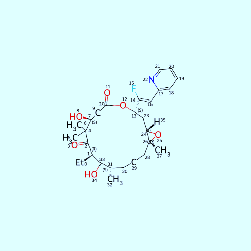 CC[C@H]1C(=O)C(C)(C)[C@@H](O)CC(=O)O[C@H](C(F)=Cc2ccccn2)C[C@@H]2O[C@]2(C)CCC[C@H](C)C1O